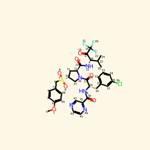 COc1ccc(CS(=O)(=O)[C@@H]2C[C@@H](C(=O)N[C@H](C(=O)C(F)(F)F)C(C)C)N(C(=O)[C@H](Cc3cccc(Cl)c3)NC(=O)c3cnccn3)C2)cc1